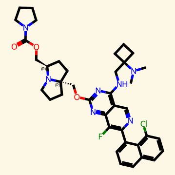 CN(C)C1(CNc2nc(OC[C@]34CCCN3[C@@H](COC(=O)N3CCCC3)CC4)nc3c(F)c(-c4cccc5cccc(Cl)c45)ncc23)CCC1